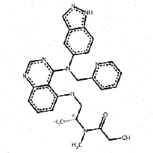 C[C@H](COc1cccc2ncnc(N(Cc3ccccn3)c3ccc4[nH]ncc4c3)c12)N(C)C(=O)CO